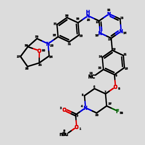 CCCCOC(=O)N1CCC(Oc2ccc(-c3ncnc(Nc4ccc(N5CC6CCC(C5)O6)cc4)n3)cc2C#N)C(F)C1